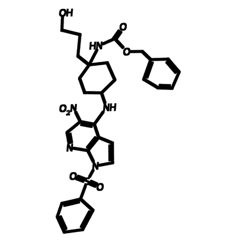 O=C(NC1(CCCO)CCC(Nc2c([N+](=O)[O-])cnc3c2ccn3S(=O)(=O)c2ccccc2)CC1)OCc1ccccc1